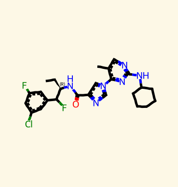 CC[C@@H](NC(=O)c1cn(-c2nc(NC3CCCCC3)ncc2C)cn1)C(F)c1cc(F)cc(Cl)c1